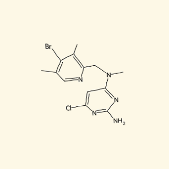 Cc1cnc(CN(C)c2cc(Cl)nc(N)n2)c(C)c1Br